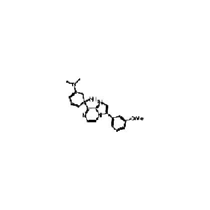 COc1cccc(-c2cnc3c(C4(N)C=CC=C(N(C)C)C4)nccn23)c1